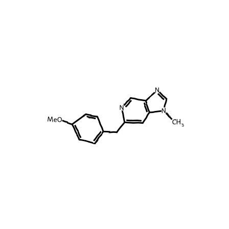 COc1ccc(Cc2cc3c(cn2)ncn3C)cc1